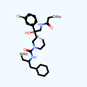 CNCC(CC1CCCCC1)NC(=O)N1CCC[C@@H]([C@@](O)(CNC(=O)COC)c2cccc(Cl)c2)C1